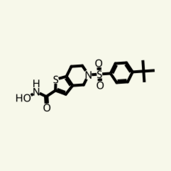 CC(C)(C)c1ccc(S(=O)(=O)N2CCc3sc(C(=O)NO)cc3C2)cc1